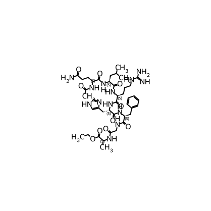 CCOC(=O)[C@H](C)NC(=O)CNC(=O)[C@H](Cc1ccccc1)NC(=O)[C@H](Cc1c[nH]cn1)NC(=O)[C@H](CCCNC(=N)N)NC(=O)[C@H](CC(C)C)NC(=O)[C@H](CCC(N)=O)NC(C)=O